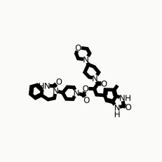 Cc1cc(CC(OC(=O)N2CCC(N3CCc4ccccc4NC3=O)CC2)C(=O)N2CCC(N3CCOCC3)CC2)cc2[nH]c(=O)[nH]c12